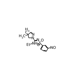 CCN/C(=N\S(=O)(=O)c1cccc(N=O)c1)N1CC(C)(C)C=N1